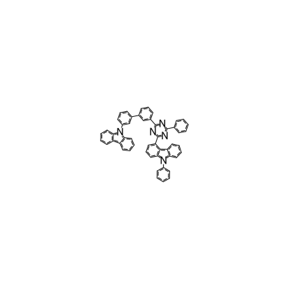 c1ccc(-c2nc(-c3cccc(-c4cccc(-n5c6ccccc6c6ccccc65)c4)c3)nc(-c3cccc4c3c3ccccc3n4-c3ccccc3)n2)cc1